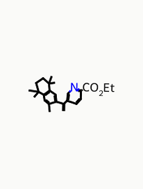 C=C(c1ccc(C(=O)OCC)nc1)c1cc2c(cc1C)C(C)(C)CCC2(C)C